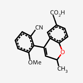 COc1cccc(C#N)c1C1=CC(C)Oc2ccc(C(=O)O)cc21